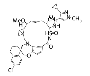 CO[C@H]1/C=C/C[C@H](C)C(NC(=O)c2cn(C)nc2C2CC2)/[SH](=O)=N\C(=O)c2ccc3c(c2)N(CC24CC2[C@@H]14)C[C@@]1(CCCc2cc(Cl)ccc21)CO3